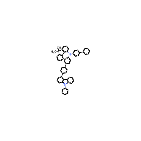 CC1(C)c2ccccc2-c2c(N(c3ccc(-c4ccccc4)cc3)c3ccc(-c4ccc(-c5cccc6c5c5ccccc5n6-c5ccccc5)cc4)cc3)cccc21